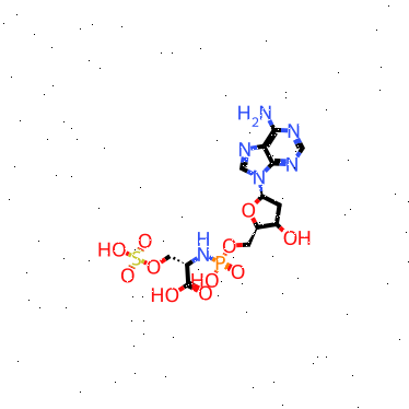 Nc1ncnc2c1ncn2[C@H]1CC(O)[C@@H](COP(=O)(O)N[C@@H](COS(=O)(=O)O)C(=O)O)O1